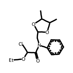 CCOC(Cl)C(=O)N(CC1OC(C)C(C)O1)c1ccccc1